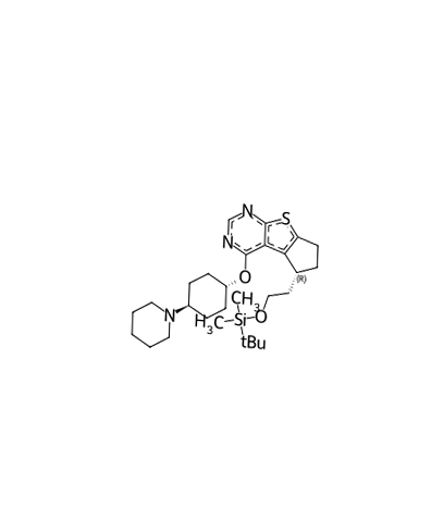 CC(C)(C)[Si](C)(C)OCC[C@H]1CCc2sc3ncnc(O[C@H]4CC[C@H](N5CCCCC5)CC4)c3c21